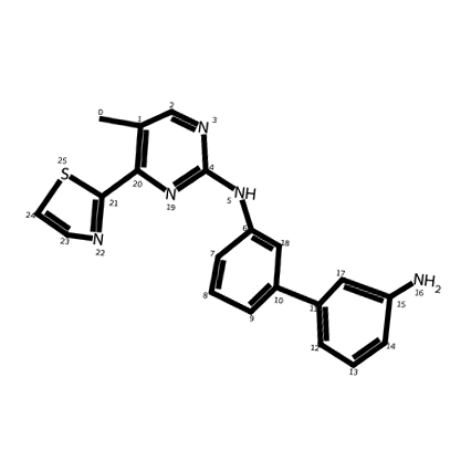 Cc1cnc(Nc2cccc(-c3cccc(N)c3)c2)nc1-c1nccs1